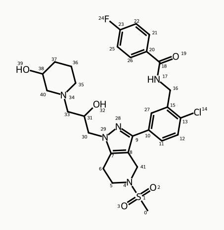 CS(=O)(=O)N1CCc2c(c(-c3ccc(Cl)c(CNC(=O)c4ccc(F)cc4)c3)nn2CC(O)CN2CCCC(O)C2)C1